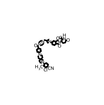 Cc1c(N2CCC3(CCN(c4ccc(C(=O)N5CCN(CC6CN(c7ccc8c(c7)C(=O)N(C7CCC(=O)NC7=O)C8=O)C6)CC5)cc4)CC3)C2)ccc(C#N)c1Cl